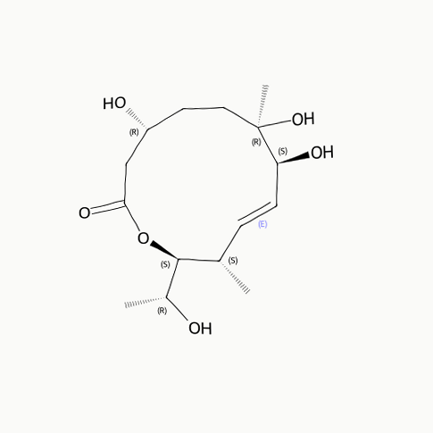 C[C@@H](O)[C@H]1OC(=O)C[C@H](O)CC[C@@](C)(O)[C@@H](O)/C=C/[C@@H]1C